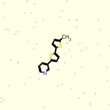 Cc1ccc(-c2ccc(-c3cccnc3)s2)s1